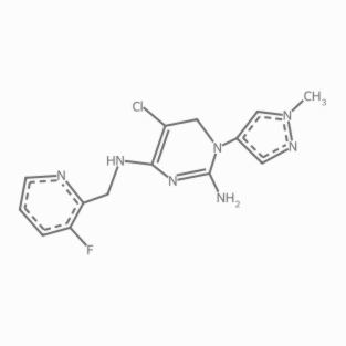 Cn1cc(N2CC(Cl)=C(NCc3ncccc3F)N=C2N)cn1